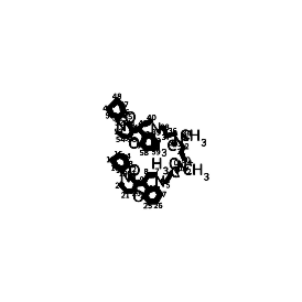 C[N+](C)(CCCN1C=CC2=C3c4oc5ccccc5[n+]4CCC3Oc3cccc1c32)CCC[N+](C)(C)CCCN1C=CC2=C3c4oc5ccccc5[n+]4CCC3Oc3cccc1c32